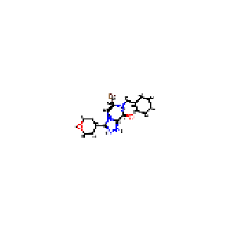 O=c1c2nnc(C3CCOCC3)n2cc(Br)n1CC1CCCCC1